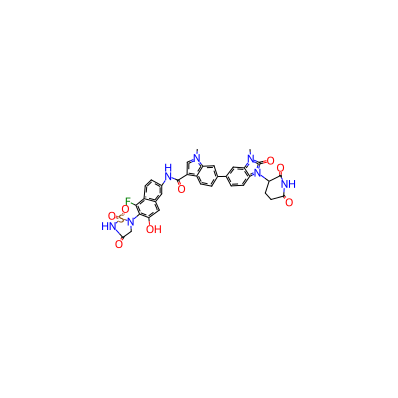 Cn1cc(C(=O)Nc2ccc3c(F)c(N4CC(=O)NS4(=O)=O)c(O)cc3c2)c2ccc(-c3ccc4c(c3)n(C)c(=O)n4C3CCC(=O)NC3=O)cc21